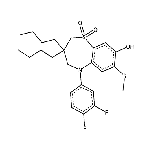 CCCCC1(CCCC)CN(c2ccc(F)c(F)c2)c2cc(SC)c(O)cc2S(=O)(=O)C1